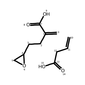 C=C(CCC1CO1)C(=O)O.C=CCC(=O)O